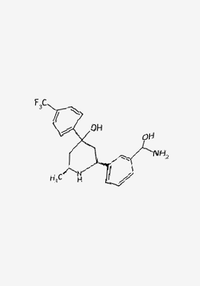 C[C@H]1CC(O)(c2ccc(C(F)(F)F)cc2)C[C@@H](c2cccc(C(N)O)c2)N1